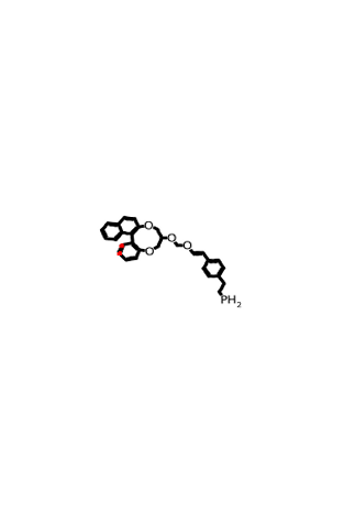 PCCc1ccc(/C=C/OCOC2COc3ccc4ccccc4c3-c3c(ccc4ccccc34)OC2)cc1